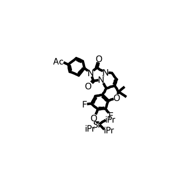 CC(=O)c1ccc(-n2c(=O)n3n(c2=O)C2C(=CC3)C(C)(C)Oc3c2cc(F)c(O[Si](C(C)C)(C(C)C)C(C)C)c3F)cc1